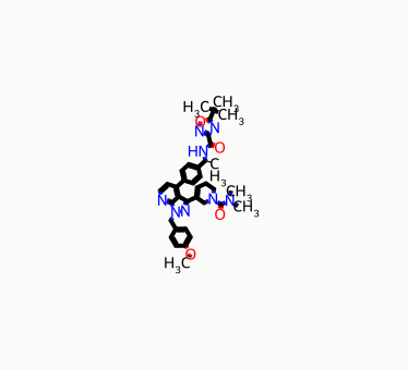 COc1ccc(Cn2nc(C3=CCCN(C(=O)N(C)C)C3)c3c(-c4ccc([C@@H](C)NC(=O)c5noc(C(C)(C)C)n5)cc4)ccnc32)cc1